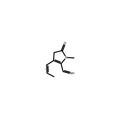 C/C=C\C1=C(C=N)N(C)C(=O)C1